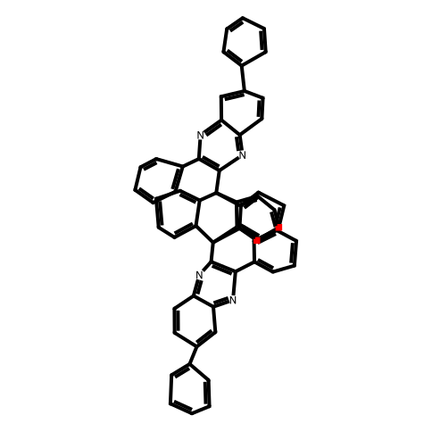 c1ccc(-c2ccc3nc(C45c6ccccc6C(c6nc7ccc(-c8ccccc8)cc7nc6-c6ccccc6)(c6ccccc64)c4ccccc45)c(-c4ccccc4)nc3c2)cc1